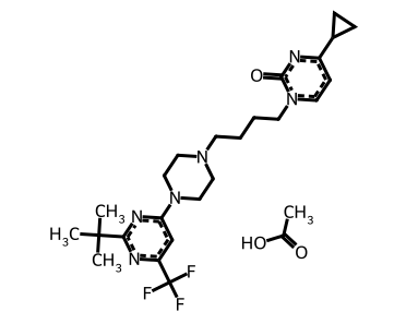 CC(=O)O.CC(C)(C)c1nc(N2CCN(CCCCn3ccc(C4CC4)nc3=O)CC2)cc(C(F)(F)F)n1